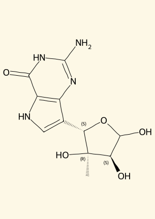 C[C@@]1(O)[C@H](O)C(O)O[C@H]1c1c[nH]c2c(=O)[nH]c(N)nc12